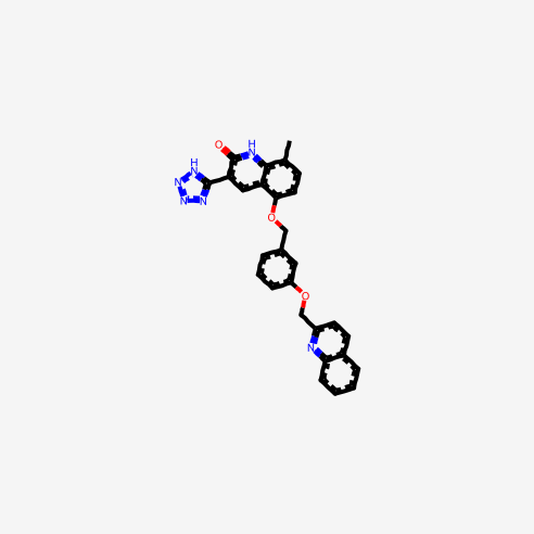 Cc1ccc(OCc2cccc(OCc3ccc4ccccc4n3)c2)c2cc(-c3nnn[nH]3)c(=O)[nH]c12